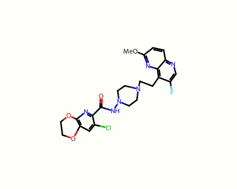 COc1ccc2ncc(F)c(CCN3CCN(NC(=O)c4nc5c(cc4Cl)OCCO5)CC3)c2n1